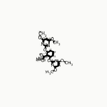 COc1cc(OC)nc(Oc2cccc(Oc3nc(OC)cc(OC)n3)c2C(=O)[O-])n1.N.[Na+]